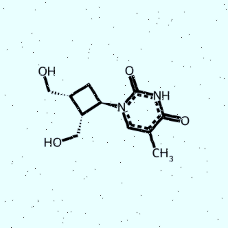 Cc1cn([C@@H]2C[C@@H](CO)[C@H]2CO)c(=O)[nH]c1=O